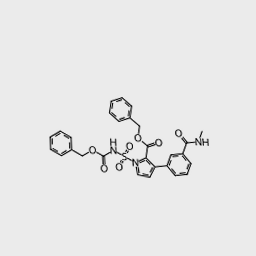 CNC(=O)c1cccc(-c2ccn(S(=O)(=O)NC(=O)OCc3ccccc3)c2C(=O)OCc2ccccc2)c1